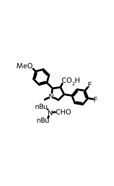 CCCCN(C=O)CCCC.COc1ccc(C2C(C(=O)O)C(c3ccc(F)c(F)c3)CN2C)cc1